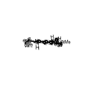 COC(=O)N[C@H](C(=O)NCCCCc1nc2ccc(-c3ccc4cc(-c5ccc6nc([C@@H]7CCCN7C(=O)[C@@H](NC(=O)OC)C(C)C)[nH]c6c5)ccc4c3)cc2[nH]1)C(C)C